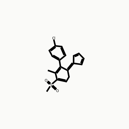 CC1=C(c2ccc(Cl)cc2)C(=C2C=CC=C2)CC=C1S(C)(=O)=O